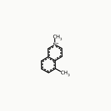 Cc1cccc2c[n+](C)ccc12